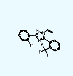 C=Cn1nc(-c2ccccc2Cl)nc1-c1ccccc1C(F)(F)F